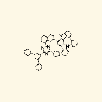 c1ccc(-c2cc(-c3ccccc3)cc(-c3nc(-c4ccccc4)nc(-c4cccc5ccc(-c6cc7c8ccccc8n8c9ccccc9c9cccc%10sc6c(c%109)c78)cc45)n3)c2)cc1